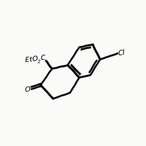 CCOC(=O)C1C(=O)CCc2cc(Cl)ccc21